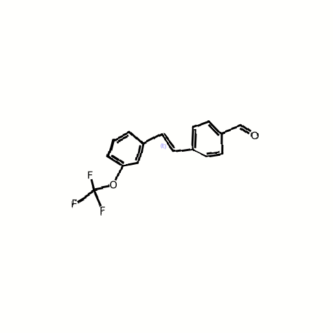 O=Cc1ccc(/C=C/c2cccc(OC(F)(F)F)c2)cc1